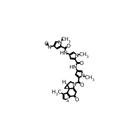 Cc1csc2c1[C@]13C[C@H]1CN(C(=O)c1cc(NC(=O)c4cc(NC(=O)c5cc(N=O)cn5C)cn4C)cn1C)C3=CC2=O